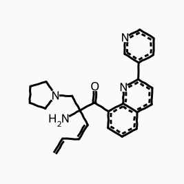 C=C/C=C\C(N)(CN1CCCC1)C(=O)c1cccc2ccc(-c3cccnc3)nc12